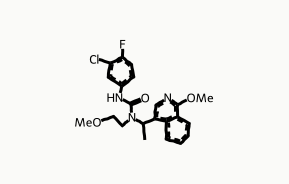 COCCN(C(=O)Nc1ccc(F)c(Cl)c1)C(C)c1cnc(OC)c2ccccc12